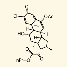 CCCOC(=O)C(=O)[C@H]1[C@H](C)C[C@H]2[C@@H]3C=C(OC(C)=O)C4=CC(=O)C(Cl)=C[C@]4(C)[C@H]3[C@@H](O)C[C@@]21C